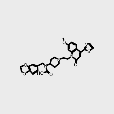 COc1ccc2c(-c3nccs3)cc(=O)n(CCN3CCC(N(Cc4ccc5c(c4)OCCO5)C(=O)O)CC3)c2c1